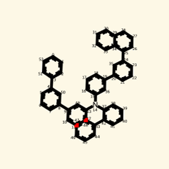 c1ccc(-c2cccc(-c3cccc(N(c4cccc(-c5cccc(-c6cccc7ccccc67)c5)c4)c4ccccc4-c4ccccc4)c3)c2)cc1